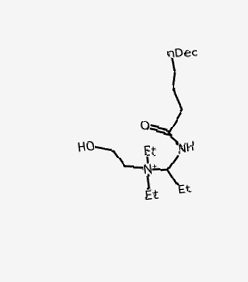 CCCCCCCCCCCCCC(=O)NC(CC)[N+](CC)(CC)CCO